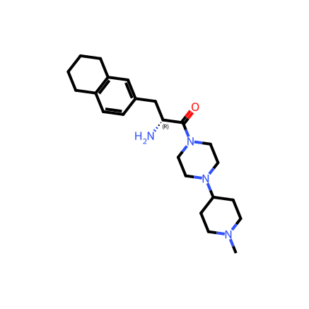 CN1CCC(N2CCN(C(=O)[C@H](N)Cc3ccc4c(c3)CCCC4)CC2)CC1